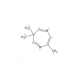 CC1=CN=CC(C)(C)C=N1